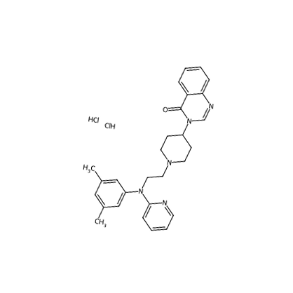 Cc1cc(C)cc(N(CCN2CCC(n3cnc4ccccc4c3=O)CC2)c2ccccn2)c1.Cl.Cl